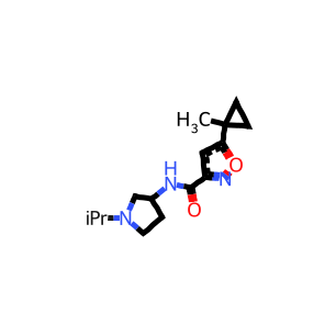 CC(C)N1CCC(NC(=O)c2cc(C3(C)CC3)on2)C1